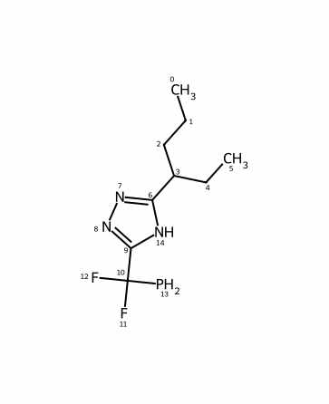 CCCC(CC)c1nnc(C(F)(F)P)[nH]1